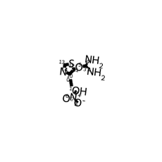 C=C.NC(N)=O.O=[N+]([O-])O.c1cscn1